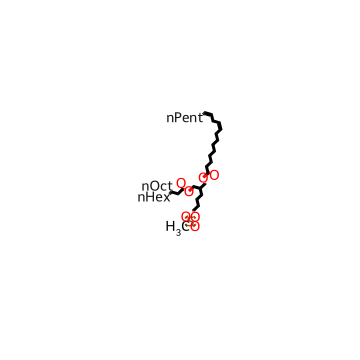 CCCCC/C=C\C/C=C\CCCCCCCC(=O)OCC(CCCCOS(C)(=O)=O)COC(=O)CC(CCCCCC)CCCCCCCC